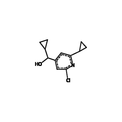 OC(c1cc(Cl)nc(C2CC2)c1)C1CC1